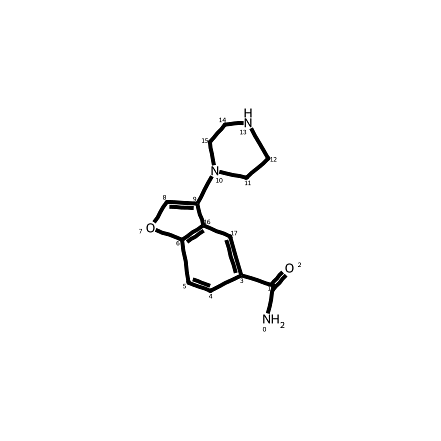 NC(=O)c1ccc2occ(N3CCNCC3)c2c1